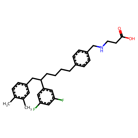 Cc1ccc(CC(CCCCc2ccc(CNCCC(=O)O)cc2)c2cc(F)cc(F)c2)cc1C